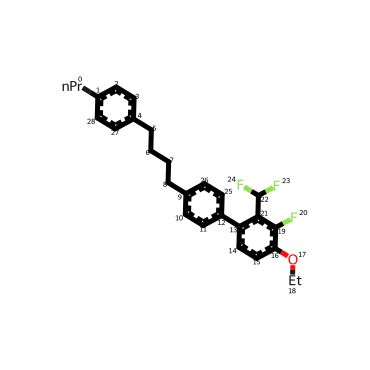 CCCc1ccc(CCCCc2ccc(-c3ccc(OCC)c(F)c3C(F)F)cc2)cc1